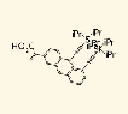 C=C(C(=O)O)c1ccc2c(C#C[Si](C(C)C)(C(C)C)C(C)C)c3c(C#C[Si](C(C)C)(C(C)C)C(C)C)cccc3cc2c1